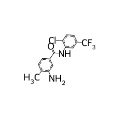 Cc1ccc(C(=O)Nc2cc(C(F)(F)F)ccc2Cl)cc1N